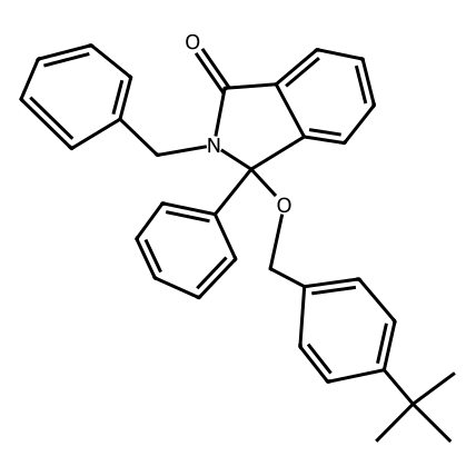 CC(C)(C)c1ccc(COC2(c3ccccc3)c3ccccc3C(=O)N2Cc2ccccc2)cc1